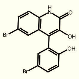 O=c1[nH]c2ccc(Br)cc2c(-c2cc(Br)ccc2O)c1O